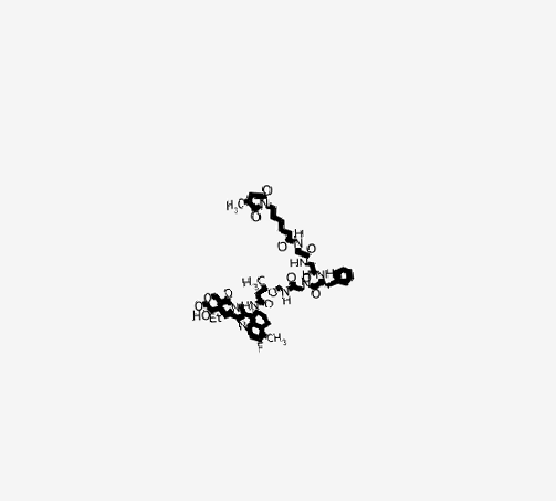 CC[C@@]1(O)C(=O)OCc2c1cc1n(c2=O)Cc2c-1nc1cc(F)c(C)c3c1c2[C@@H](NC(=O)CC(C)OCNC(=O)CNC(=O)[C@H](Cc1ccccc1)NC(=O)CNC(=O)CNC(=O)CCCCCN1C(=O)CC(C)C1=O)CC3